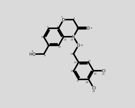 O=C1COc2ccc(CO)cc2N1OCc1ccc(Cl)c(Cl)c1